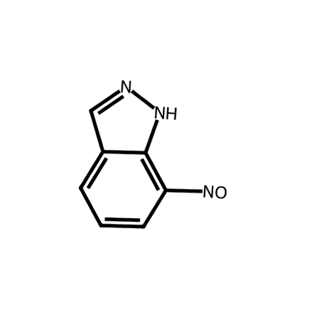 O=Nc1cccc2cn[nH]c12